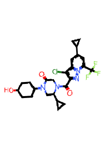 O=C1CN(C(=O)c2nn3c(C(F)(F)F)cc(C4CC4)cc3c2Cl)C(C2CC2)CN1C1CCC(O)CC1